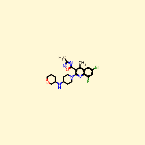 Cc1noc(-c2c(N3CCC(NC4CCCOC4)CC3)nc3c(F)cc(Br)cc3c2C)n1